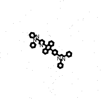 c1ccc(-c2cc(-c3ccc(-c4c5ccccc5c(-c5ccc(-c6nc7ccccc7n6-c6ccccc6)cn5)c5ccccc45)cc3)nc(-c3ccccc3)n2)cc1